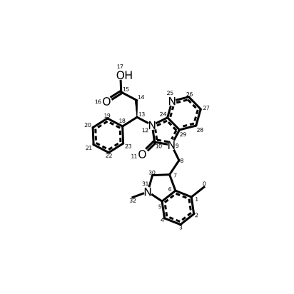 Cc1cccc2c1C(Cn1c(=O)n([C@H](CC(=O)O)c3ccccc3)c3ncccc31)CN2C